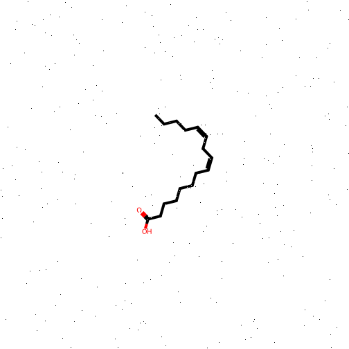 CCCC/C=C\C/C=C\CCCCCCC(=O)O